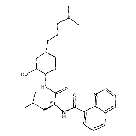 CC(C)CCCN1CCC(NC(=O)[C@H](CC(C)C)NC(=O)c2cccc3cccnc23)C(O)C1